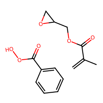 C=C(C)C(=O)OCC1CO1.O=C(OO)c1ccccc1